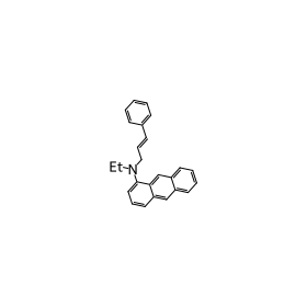 CCN(CC=Cc1ccccc1)c1cccc2cc3ccccc3cc12